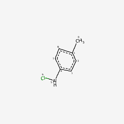 Cc1cc[c]([AlH][Cl])cc1